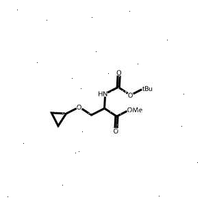 COC(=O)C(COC1CC1)NC(=O)OC(C)(C)C